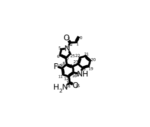 C=CC(=O)N1CC=C(c2c(F)cc(C(N)=O)c3[nH]c4ccccc4c23)C1